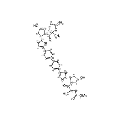 COC(=O)N[C@@H](C)C(=O)N1C[C@@H](O)C[C@H]1c1ncc(-c2ccc(-c3ccc(-c4cnc([C@@H]5C[C@H](O)CN5C(=O)C(C)(C)OC(N)=O)[nH]4)cc3)cc2)[nH]1